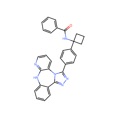 O=C(NC1(c2ccc(-c3nnc4n3-c3cccnc3Nc3ccccc3-4)cc2)CCC1)c1ccccc1